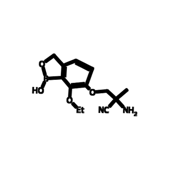 CCOc1c(OCC(C)(N)C#N)ccc2c1B(O)OC2